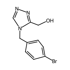 OCc1nncn1Cc1ccc(Br)cc1